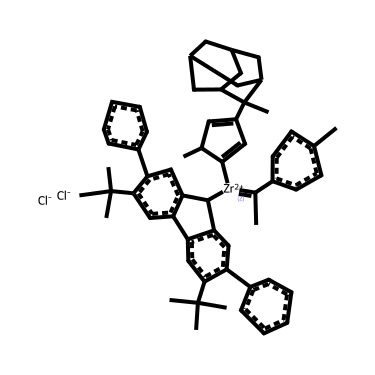 C/[C](c1ccc(C)cc1)=[Zr+2](/[C]1=CC(C2(C)C3CC4CC(C3)CC2C4)=CC1C)[CH]1c2cc(-c3ccccc3)c(C(C)(C)C)cc2-c2cc(C(C)(C)C)c(-c3ccccc3)cc21.[Cl-].[Cl-]